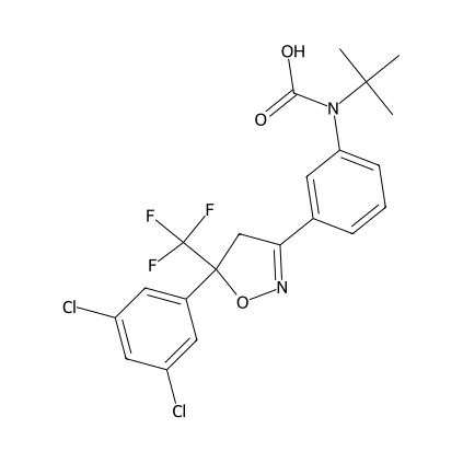 CC(C)(C)N(C(=O)O)c1cccc(C2=NOC(c3cc(Cl)cc(Cl)c3)(C(F)(F)F)C2)c1